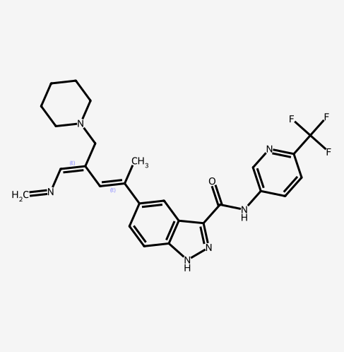 C=N/C=C(\C=C(/C)c1ccc2[nH]nc(C(=O)Nc3ccc(C(F)(F)F)nc3)c2c1)CN1CCCCC1